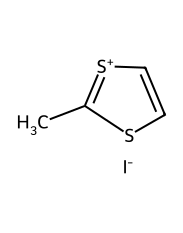 Cc1scc[s+]1.[I-]